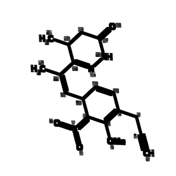 C#CCC1=C(OC)C(=S(=O)=O)C(C=C(C)C2=NNC(=O)CC2C)C=C1